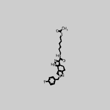 CC(=O)SCCCCCCNC(=O)c1n[nH]c2c1CCc1nn(Cc3ccc(F)cc3)cc1-2